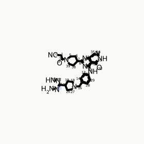 N#CCC(=O)N1CCC(c2nc(Nc3ccc(CN4CCC(/C(N=N)=N/N)CC4)cc3)c3c(=O)[nH]ncc3n2)CC1